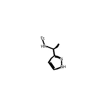 CCNC(C)c1cc[nH]n1